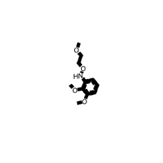 COCCONc1cccc(OC)c1OC